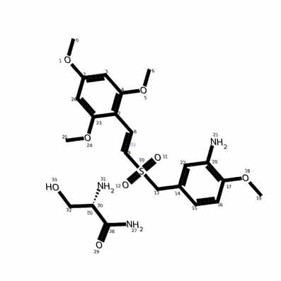 COc1cc(OC)c(/C=C/S(=O)(=O)Cc2ccc(OC)c(N)c2)c(OC)c1.NC(=O)[C@@H](N)CO